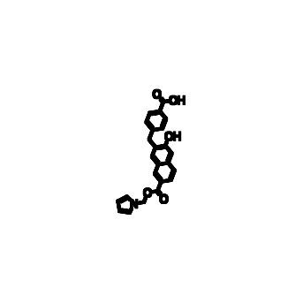 O=C(O)c1ccc(Cc2cc3cc(C(=O)OCn4cccc4)ccc3cc2O)cc1